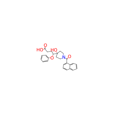 O=C(O)CCC(Oc1ccccc1)C1(O)CCN(C(=O)c2cccc3ccccc23)CC1